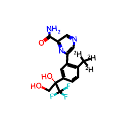 [2H]C([2H])([2H])c1ccc([C@](O)(CO)C(F)(F)F)cc1-c1cncc(C(N)=O)n1